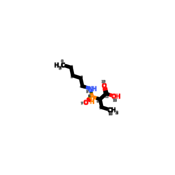 CCCCCN[PH](=O)C(CC)C(=O)O